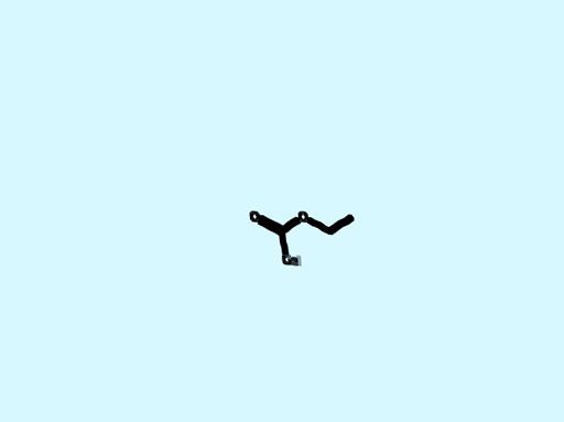 CCO[C](=O)[Ge]